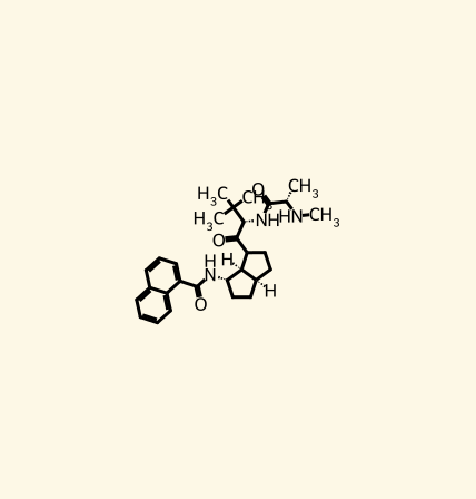 CN[C@@H](C)C(=O)N[C@H](C(=O)C1CC[C@H]2CC[C@H](NC(=O)c3cccc4ccccc34)[C@@H]12)C(C)(C)C